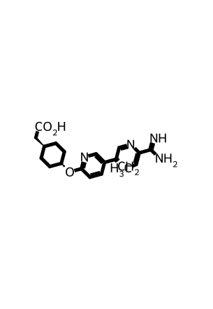 C=C(/C=N\C(=C/C)C(=N)N)c1ccc(O[C@H]2CC[C@H](CC(=O)O)CC2)nc1